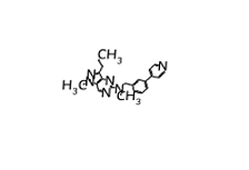 CCCc1nn(C)c2cnc(N(C)Cc3cccc(-c4ccncc4)c3)nc12